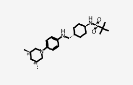 C[C@@H]1C[C@@H](C)CN(c2ccc(NC[C@H]3CC[C@H](NS(=O)(=O)C(C)(C)C)CC3)cc2)C1